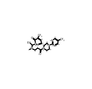 CCC(N(C)CCC(=O)N1CCN(c2ncc(C(F)(F)F)cn2)CC1)n1nccc(C(F)(F)F)c1=O